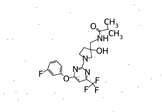 CC(C)C(=O)NCC1(O)CCN(c2nc(Oc3cccc(F)c3)cc(C(F)(F)F)n2)C1